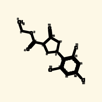 CCOC(=O)C1CN(c2c(Cl)cc(Cl)cc2Cl)CC1=O